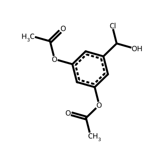 CC(=O)Oc1cc(OC(C)=O)cc(C(O)Cl)c1